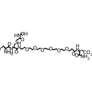 CC(C)C[C@H](N)C(=O)N[C@@H](CSCC(=O)NO)C(=O)NCCOCCOCCOCCOCCOCCOCCC(=O)N[C@H](CC(=O)O)C(N)=O